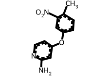 Cc1ccc(Oc2ccnc(N)c2)cc1[N+](=O)[O-]